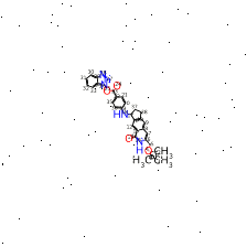 C[Si](C)(C)OCc1cc2cc3c(cc2c(=O)[nH]1)[C@@H](Nc1ccc(C(=O)On2nnc4ccccc42)cc1)CC3